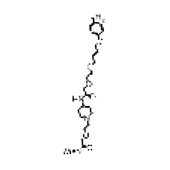 CNC(=O)COCCN1CCC(NC(=O)COCCOCCCCOc2ccc(C)cc2)CC1